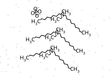 CCCCCCCCC[N+](C)(CC)CCCCCCCC.CCCCCCCCC[N+](C)(CC)CCCCCCCC.CCCCCCCCC[N+](C)(CC)CCCCCCCC.O=P([O-])([O-])[O-]